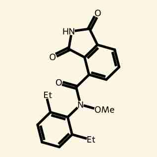 CCc1cccc(CC)c1N(OC)C(=O)c1cccc2c1C(=O)NC2=O